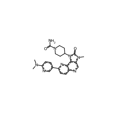 CN(C)c1ccc(-c2ccc3ncc4c(c3n2)n(C2CCN(C(N)=O)CC2)c(=O)n4C)cn1